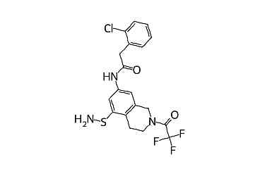 NSc1cc(NC(=O)Cc2ccccc2Cl)cc2c1CCN(C(=O)C(F)(F)F)C2